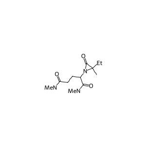 CCC1(C)C(=O)N1C(CCC(=O)NC)C(=O)NC